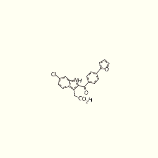 O=C(O)Cc1c(C(=O)c2ccc(-c3ccco3)cc2)[nH]c2cc(Cl)ccc12